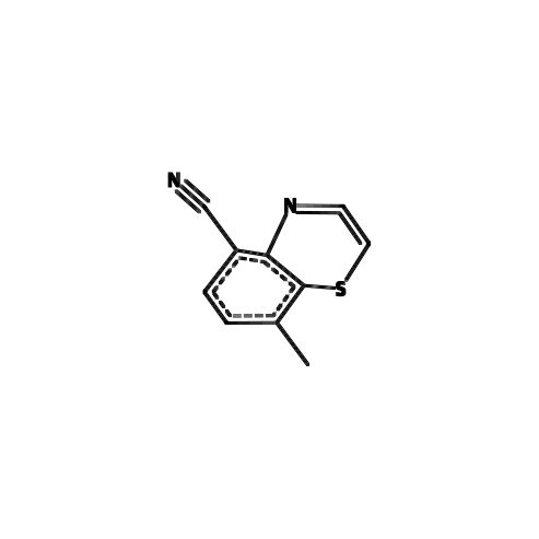 Cc1ccc(C#N)c2c1SC=C=N2